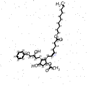 C=CCCCCCCCCOC(=O)CCC/C=C\C[C@@H]1[C@@H](CC[C@@H](O)COc2ccccc2)[C@H](O)C[C@@H]1OC(C)=O